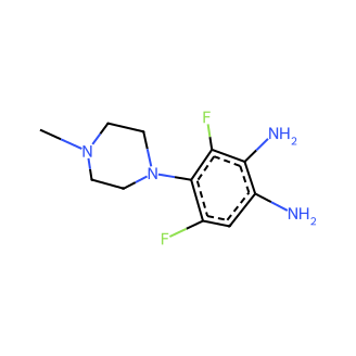 CN1CCN(c2c(F)cc(N)c(N)c2F)CC1